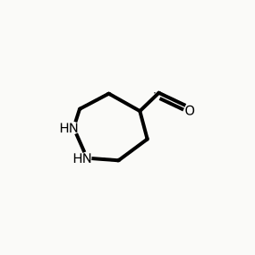 O=[C]C1CCNNCC1